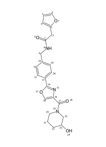 O=C(Cc1ccco1)NCc1ccc(-c2nc(C(=O)N3CCCC(O)C3)co2)cc1